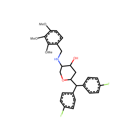 COc1ccc(CNC2COC(C(c3ccc(F)cc3)c3ccc(F)cc3)CC2O)c(OC)c1OC